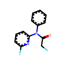 O=C(CF)N(c1ccccc1)c1cccc(F)n1